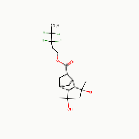 CC(C)(O)C1C2CC(C(=O)OCCC(F)(F)C(F)(F)S(=O)(=O)O)C(C2)C1C(C)(C)O